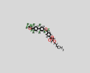 CCCCOC12COC(c3ccc(C(F)(F)Oc4cc(F)c(-c5cc(F)c(C(F)(F)OC(F)(F)F)c(F)c5)c(F)c4)cc3)(OC1)O2